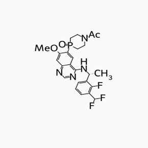 COc1cc2ncnc(N[C@H](C)c3cccc(C(F)F)c3F)c2cc1P1(=O)CCN(C(C)=O)CC1